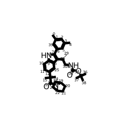 Cc1cc(C)cc(-c2[nH]c3ccc(C(C)(C)C(=O)N4C5CCC4CC5)cc3c2[C@H](C)CNC(=O)OC(C)(C)C)c1